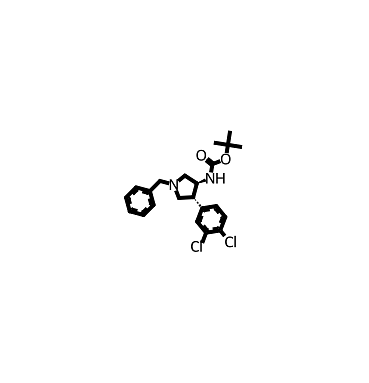 CC(C)(C)OC(=O)N[C@@H]1CN(Cc2ccccc2)C[C@H]1c1ccc(Cl)c(Cl)c1